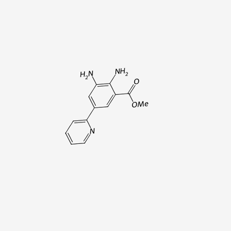 COC(=O)c1cc(-c2ccccn2)cc(N)c1N